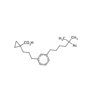 CC(=O)C(C)(C)CCCCc1cccc(CCCC2(C(=O)O)CC2)c1